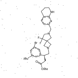 COC(=O)C[C@H](CN1CC2(CN(Cc3ccc4c(n3)NCCC4)CC2(F)F)C1)c1cc(Br)cc(C(C)(C)C)c1